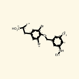 CCNc1cc(COc2c(Br)cc(CC(F)C(=O)O)cc2Br)cc(C(F)(F)F)c1